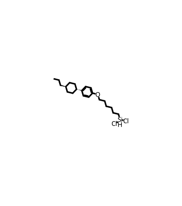 CCC[C@H]1CC[C@H](c2ccc(OCCCCCC[SiH](Cl)Cl)cc2)CC1